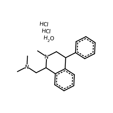 CN(C)CC1c2ccccc2C(c2ccccc2)CN1C.Cl.Cl.O